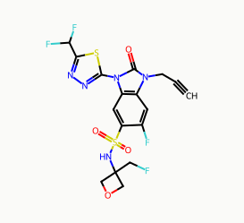 C#CCn1c(=O)n(-c2nnc(C(F)F)s2)c2cc(S(=O)(=O)NC3(CF)COC3)c(F)cc21